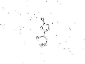 CC(C)[C@H](CC=O)[C@H]1C=CC(=O)O1